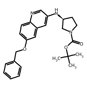 CC(C)(C)OC(=O)N1CC[C@H](Nc2cnc3ccc(OCc4ccccc4)cc3c2)C1